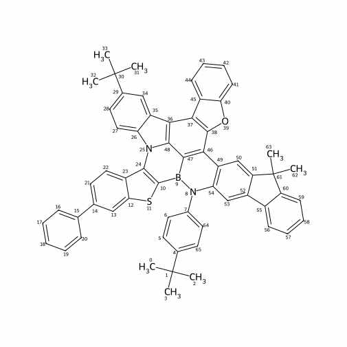 CC(C)(C)c1ccc(N2B3c4sc5cc(-c6ccccc6)ccc5c4-n4c5ccc(C(C)(C)C)cc5c5c6c(oc7ccccc76)c(c3c54)-c3cc4c(cc32)-c2ccccc2C4(C)C)cc1